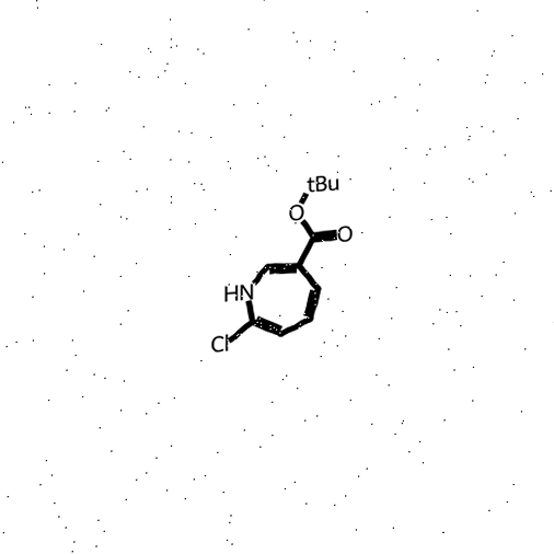 CC(C)(C)OC(=O)C1=CNC(Cl)=CC=C1